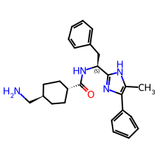 Cc1[nH]c([C@H](Cc2ccccc2)NC(=O)[C@H]2CC[C@H](CN)CC2)nc1-c1ccccc1